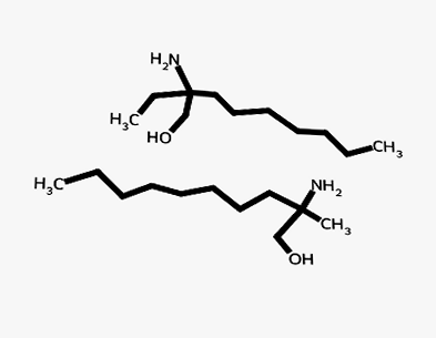 CCCCCCCC(N)(CC)CO.CCCCCCCCC(C)(N)CO